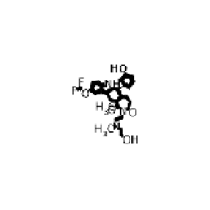 CN(CCO)CCN1C(=O)CCC2[C@H](c3cccc(O)c3)c3[nH]c4ccc(OC(F)F)cc4c3C[C@@]2(C)C1=O